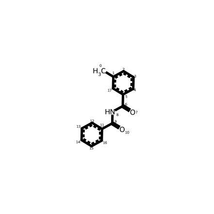 Cc1cccc(C(=O)NC(=O)c2ccccc2)c1